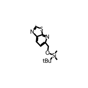 CC(C)(C)[Si](C)(C)OCc1ccc2n[c]sc2n1